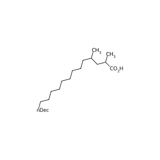 CCCCCCCCCCCCCCCCCCCC(C)CC(C)C(=O)O